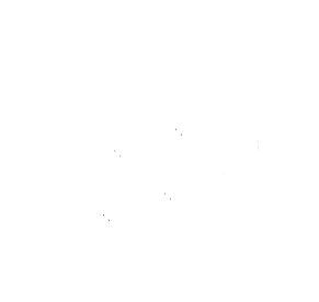 CCc1cccc(Cl)c1-n1cnc(N2CCCC2)nc1=O